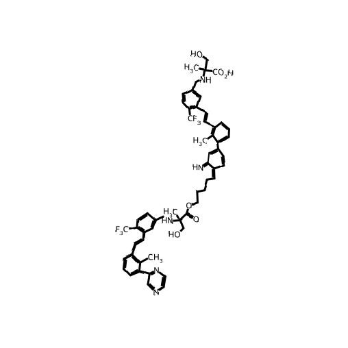 Cc1c(/C=C/c2cc(CNC(C)(CO)C(=O)O)ccc2C(F)(F)F)cccc1C1=CC(=N)/C(=C\CCCCOC(=O)C(C)(CO)NCc2ccc(C(F)(F)F)c(/C=C/c3cccc(-c4cnccn4)c3C)c2)C=C1